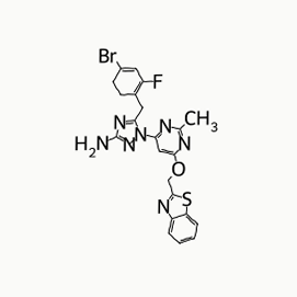 Cc1nc(OCc2nc3ccccc3s2)cc(-n2nc(N)nc2CC2=C(F)C=C(Br)CC2)n1